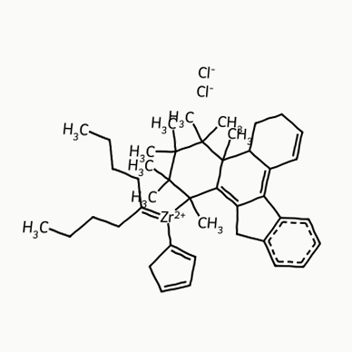 CCCC[C](CCCC)=[Zr+2]([C]1=CC=CC1)[C]1(C)C2=C3Cc4ccccc4C3=C3C=CCCC3C2(C)C(C)(C)C(C)(C)C1(C)C.[Cl-].[Cl-]